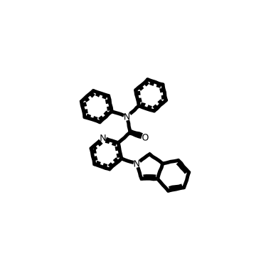 O=C(c1ncccc1N1C=C2C=CC=CC2C1)N(c1ccccc1)c1ccccc1